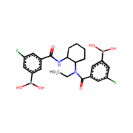 O=C(O)CN(C(=O)c1cc(F)cc(B(O)O)c1)C1CCCCC1NC(=O)c1cc(F)cc(B(O)O)c1